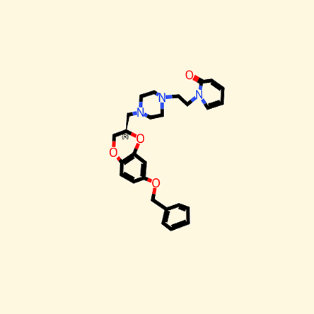 O=c1ccccn1CCN1CCN(C[C@@H]2COc3ccc(OCc4ccccc4)cc3O2)CC1